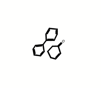 O=C1C=CCCC1.c1ccc(-c2ccccc2)cc1